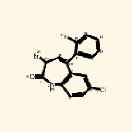 O=C1Nc2ccc(Cl)cc2C(c2ccccc2F)=CC1Br